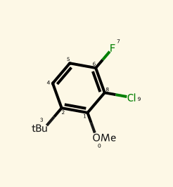 COc1c(C(C)(C)C)ccc(F)c1Cl